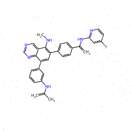 C=C(C)Nc1cccc(-c2cc(-c3ccc(C(=C)Nc4cc(F)ccn4)cc3)c(NC)c3cncnc23)c1